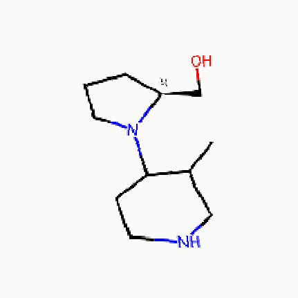 CC1CNCCC1N1CCC[C@H]1CO